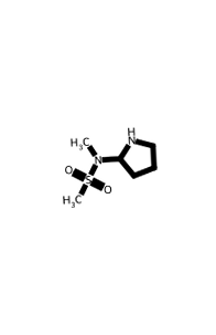 CN(C1CCCN1)S(C)(=O)=O